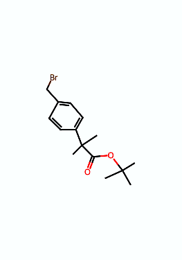 CC(C)(C)OC(=O)C(C)(C)c1ccc(CBr)cc1